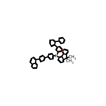 CC1(C)c2ccccc2-c2c(N(c3ccc(-c4ccc(-c5cccc6ccccc56)cc4)cc3)c3cccc(-c4ccccc4-c4ccccc4)c3)cccc21